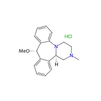 CO[C@H]1c2ccccc2[C@@H]2CN(C)CCN2c2ccccc21.Cl